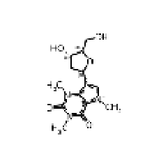 Cn1c(=O)c2c(n([C@H]3C[C@H](O)[C@@H](CO)O3)c[n+]2C)n(C)c1=O